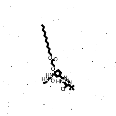 CCCCCCCCCCCCOC(=O)CCOc1ccc(-c2nn3nc(C(C)(C)C)c(Cl)c3[nH]2)cc1NC(=O)NCC